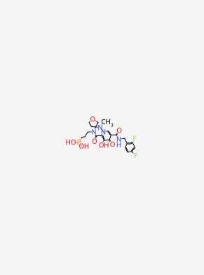 CN1n2cc(C(=O)NCc3ccc(F)cc3F)c(=O)c(O)c2C(=O)N(CCCP(O)O)C12CCOC2